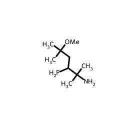 COC(C)(C)CC(P)C(C)(C)N